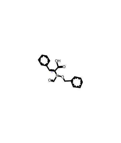 O=CN(OCc1ccccc1)/C(=C/c1ccccc1)C(=O)O